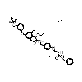 CCOC(C(=O)NCc1ccc(/N=C/NC(=O)OCc2ccccc2)cc1)c1c(F)cc(Oc2cccc(OC(F)(F)F)c2)cc1F